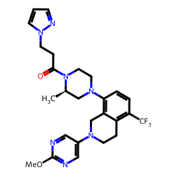 COc1ncc(N2CCc3c(C(F)(F)F)ccc(N4CCN(C(=O)CCn5cccn5)[C@H](C)C4)c3C2)cn1